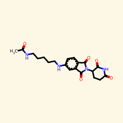 CC(=O)NCCCCCNc1ccc2c(c1)C(=O)N(C1CCC(=O)NC1=O)C2=O